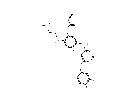 C=CC(=O)Nc1cc(Nc2cc(Nc3ccc(C(F)(F)F)c(Cl)c3)ncn2)c(OC)cc1N(C)CCN(C)C